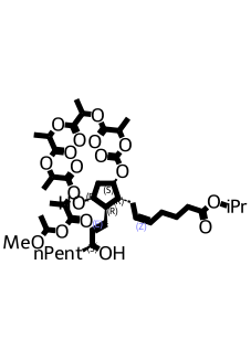 CCCCC[C@H](O)/C=C/[C@@H]1[C@@H](C/C=C\CCCC(=O)OC(C)C)[C@@H](OC(=O)OC(C)C(=O)OC(C)C(=O)OC(C)C(=O)OC(C)C(=O)OC(C)C(=O)OC(C)OC)C[C@H]1O